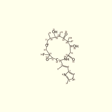 C/C(=C\c1csc(C)n1)C1CC2OC2(F)COCC(C)C(O)C(C)C(=O)C(C)(C)C(O)CC(=O)N1